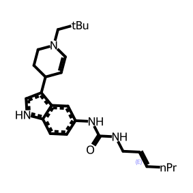 CCC/C=C/CNC(=O)Nc1ccc2[nH]cc(C3C=CN(CC(C)(C)C)CC3)c2c1